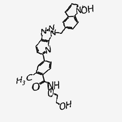 Cc1cc(-c2ccc3nnn(Cc4ccc5c(ccc[n+]5O)c4)c3n2)ccc1C(=O)NOCCO